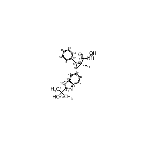 CC(C)(O)c1nc2ccc([C@@H]3[C@@H](c4ccccc4)[C@@]3(F)C(=O)NO)cc2s1